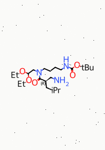 CCOC(CN(CCCCNC(=O)OC(C)(C)C)C(=O)[C@@H](CN)CC(C)C)OCC